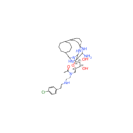 CC(=O)N(CCNCCc1ccc(Cl)cc1)C[C@H]1O[C@@H](N2C3NC4C(N)NC5(CCCC(CC5)C5CCCC3CCC5)NC42)[C@H](O)[C@@H]1O